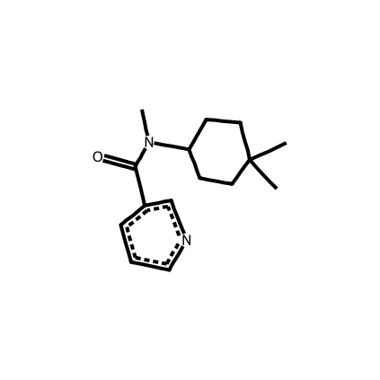 CN(C(=O)c1cccnc1)C1CCC(C)(C)CC1